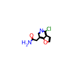 NC(=O)Cc1cnc(Cl)c2ccoc12